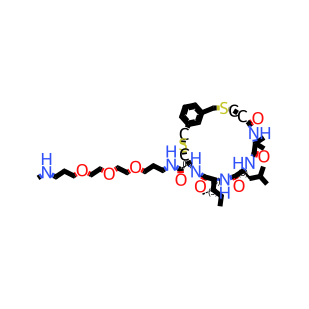 CC[C@H](C)[C@@H]1NC(=O)[C@H](CC(C)C)NC(=O)C(C)(C)NC(=O)CCSCc2cccc(c2)CSC[C@@H](C(=O)NCCCOCCOCCOCCCNC)NC1=O